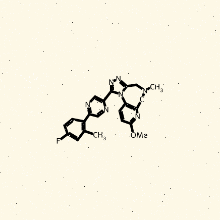 COc1ccc2c(n1)CN(C)Cc1nnc(-c3cnc(-c4ccc(F)cc4C)cn3)n1-2